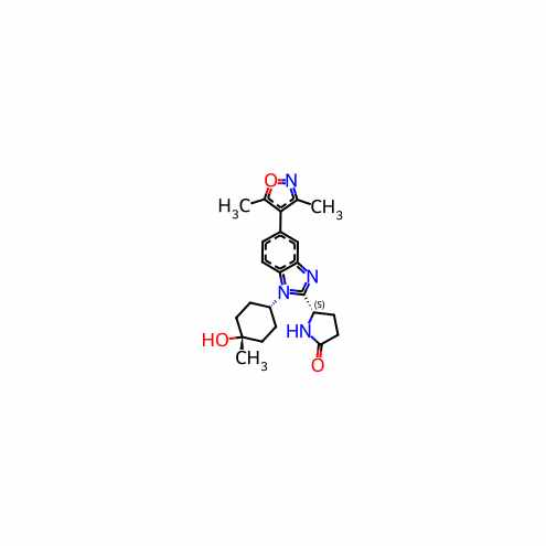 Cc1noc(C)c1-c1ccc2c(c1)nc([C@@H]1CCC(=O)N1)n2[C@H]1CC[C@@](C)(O)CC1